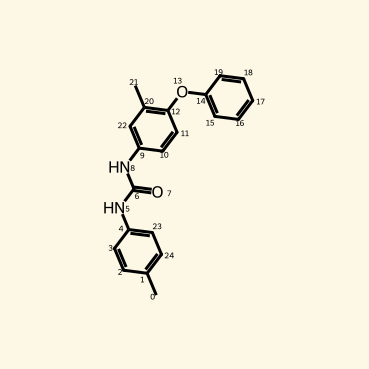 Cc1ccc(NC(=O)Nc2ccc(Oc3ccccc3)c(C)c2)cc1